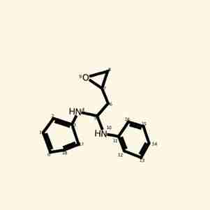 c1ccc(NC(CC2CO2)Nc2ccccc2)cc1